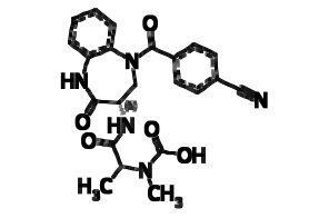 CC(C(=O)N[C@H]1CN(C(=O)c2ccc(C#N)cc2)c2ccccc2NC1=O)N(C)C(=O)O